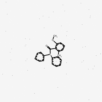 COc1cccc(C)c1C(=O)P(c1ccccc1)c1ccccc1